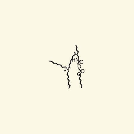 CCCCCCCC[N+](C)(CCCCCCCC)CCCCCCCC.CCCCCCNC(=O)COCC(=O)OCCCCCC